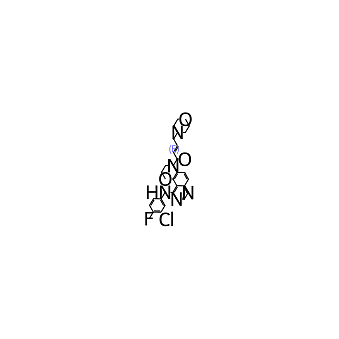 O=C(/C=C/CN1CCOCC1)N1CCOc2c1ccc1ncnc(Nc3ccc(F)c(Cl)c3)c21